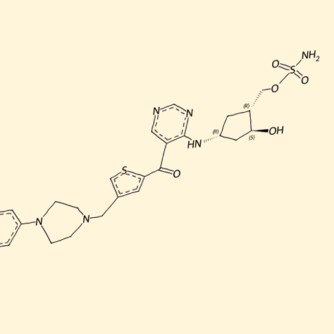 NS(=O)(=O)OC[C@H]1C[C@@H](Nc2ncncc2C(=O)c2cc(CN3CCN(c4ccccc4)CC3)cs2)C[C@@H]1O